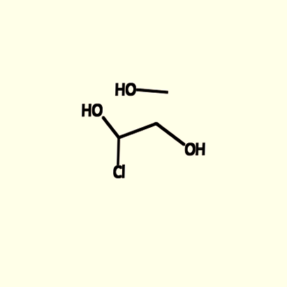 CO.OCC(O)Cl